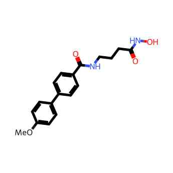 COc1ccc(-c2ccc(C(=O)NCCCC(=O)NO)cc2)cc1